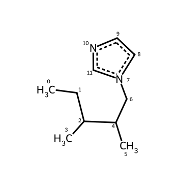 CCC(C)C(C)Cn1ccnc1